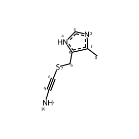 Cc1nc[nH]c1CSC#C[NH]